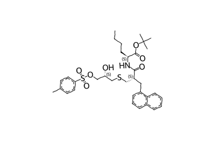 CCCC[C@H](NC(=O)[C@@H](CSC[C@@H](O)COS(=O)(=O)c1ccc(C)cc1)Cc1cccc2ccccc12)C(=O)OC(C)(C)C